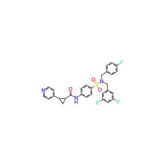 O=C(Nc1ccc(S(=O)(=O)N(Cc2ccc(F)cc2)Cc2cc(F)cc(F)c2)cc1)C1CC1c1ccncc1